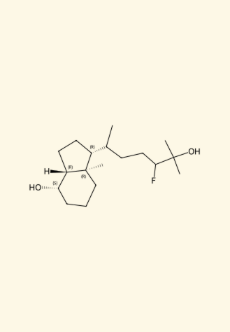 CC(CCC(F)C(C)(C)O)[C@H]1CC[C@H]2[C@@H](O)CCC[C@]12C